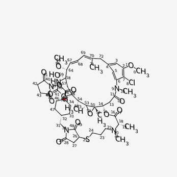 COc1cc2cc(c1Cl)N(C)C(=O)C[C@H](OC(=O)[C@H](C)N(C)CCCSC1CC(=O)N(C[C@H]3CC[C@H](C(=O)ON4C(=O)CCC4=O)CC3)C1=O)[C@]1(C)O[C@H]1[C@H](C)[C@@H]1C[C@@](O)(NC(=O)O1)[C@H](OC)/C=C/C=C(\C)C2